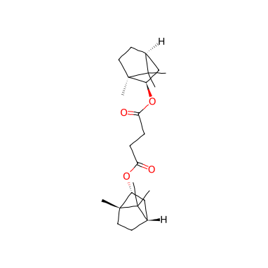 CC1(C)[C@H]2CC[C@]1(C)[C@H](OC(=O)CCC(=O)O[C@@H]1C[C@@H]3CC[C@@]1(C)C3(C)C)C2